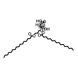 CCCCCCCCCCCCCCCC(=O)OCC(COP(=O)(O)OP(=O)(O)O)OC(=O)CCCCCCCCCCCCCCC